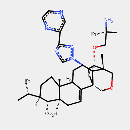 CC(C)[C@@H](C)[C@@]1(C)CC[C@]2(C)[C@H]3CC[C@@H]4[C@@]5(COC[C@@]4(C)[C@@H](OC[C@](C)(N)C(C)C)[C@H](n4cnc(-c6cnccn6)n4)C5)C3=CC[C@@]2(C)[C@@H]1C(=O)O